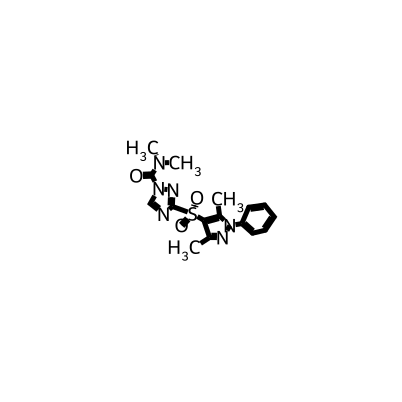 Cc1nn(-c2ccccc2)c(C)c1S(=O)(=O)c1ncn(C(=O)N(C)C)n1